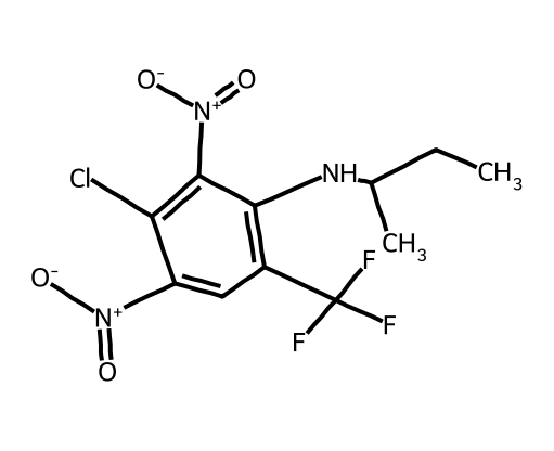 CCC(C)Nc1c(C(F)(F)F)cc([N+](=O)[O-])c(Cl)c1[N+](=O)[O-]